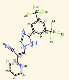 N#C/C(=C\N1C=NC(c2cc(C(F)(F)F)cc(C(F)(F)F)c2)N1)c1ccccn1